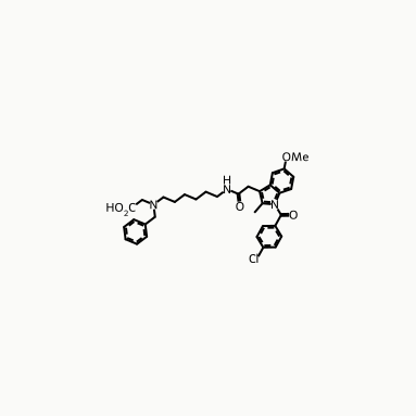 COc1ccc2c(c1)c(CC(=O)NCCCCCCN(CC(=O)O)Cc1ccccc1)c(C)n2C(=O)c1ccc(Cl)cc1